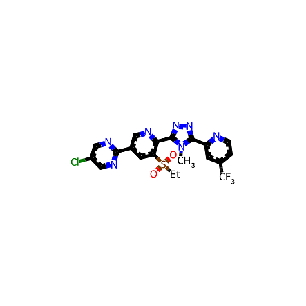 CCS(=O)(=O)c1cc(-c2ncc(Cl)cn2)cnc1-c1nnc(-c2cc(C(F)(F)F)ccn2)n1C